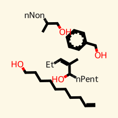 C=CCCCCCCCCO.CCC=C(C)C(O)CCCCC.CCCCCCCCCC(C)CO.OCc1ccccc1